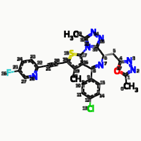 Cc1nnc(C[C@@H]2N=C(c3ccc(Cl)cc3)c3c(sc(C#Cc4ccc(F)cn4)c3C)-n3c(C)nnc32)o1